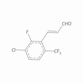 O=CC=Cc1c(C(F)(F)F)ccc(Cl)c1F